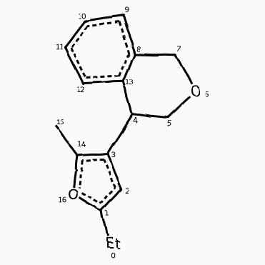 CCc1cc(C2COCc3ccccc32)c(C)o1